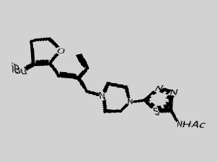 C=C/C(=C\C1=C(C(C)CC)CCO1)CN1CCN(c2nnc(NC(C)=O)s2)CC1